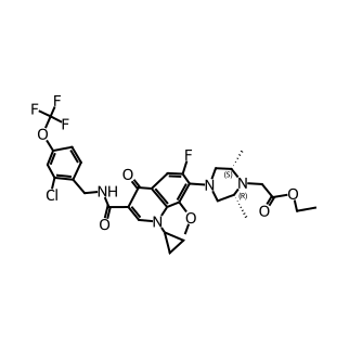 CCOC(=O)CN1[C@H](C)CN(c2c(F)cc3c(=O)c(C(=O)NCc4ccc(OC(F)(F)F)cc4Cl)cn(C4CC4)c3c2OC)C[C@@H]1C